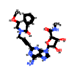 CNC(=O)C1OC(n2cnc3c(N)nc(C#CCN(CCOC)C(=O)c4ccccc4)nc32)[C@H](O)[C@@H]1O